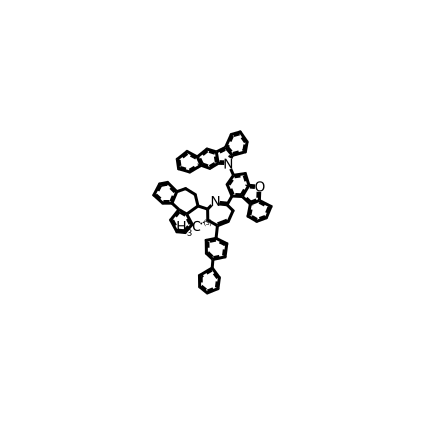 C[C@H]1C(c2ccc(-c3ccccc3)cc2)=CCC(c2cc(-n3c4ccccc4c4cc5ccccc5cc43)cc3oc4ccccc4c23)=NC1C1CCc2ccccc2-c2ccccc21